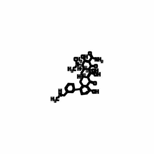 CNCc1cccc(-c2ccc(O)c3c2C[C@H]2C[C@H]4[C@H](N(C)C)C(O)=C(C(N)=O)C(=O)[C@@]4(O)C(O)=C2C3=O)c1